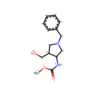 CC(C)(C)OC(=O)NC1CN(Cc2ccccc2)CC1CO